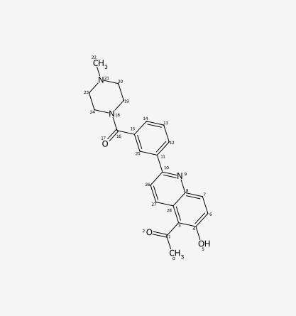 CC(=O)c1c(O)ccc2nc(-c3cccc(C(=O)N4CCN(C)CC4)c3)ccc12